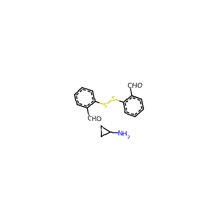 NC1CC1.O=Cc1ccccc1SSc1ccccc1C=O